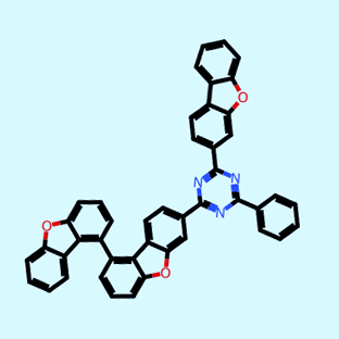 c1ccc(-c2nc(-c3ccc4c(c3)oc3ccccc34)nc(-c3ccc4c(c3)oc3cccc(-c5cccc6oc7ccccc7c56)c34)n2)cc1